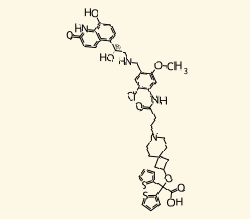 COc1cc(NC(=O)CCN2CCC3(CC2)CC(OC(C(=O)O)(c2cccs2)c2cccs2)C3)c(Cl)cc1CNC[C@H](O)c1ccc(O)c2[nH]c(=O)ccc12